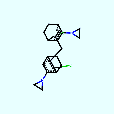 Clc1c(Cc2c3cc(N4CC4)c(c2Cl)CC3)c2cc(N3CC3)c1CC2